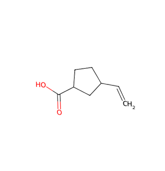 C=CC1CCC(C(=O)O)C1